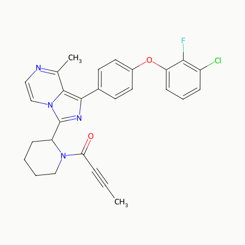 CC#CC(=O)N1CCCCC1c1nc(-c2ccc(Oc3cccc(Cl)c3F)cc2)c2c(C)nccn12